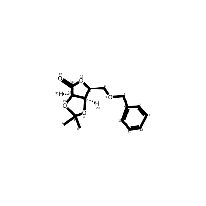 CC1(C)O[C@@H]2[C@H](COCc3ccccc3)OC(=O)[C@@H]2O1